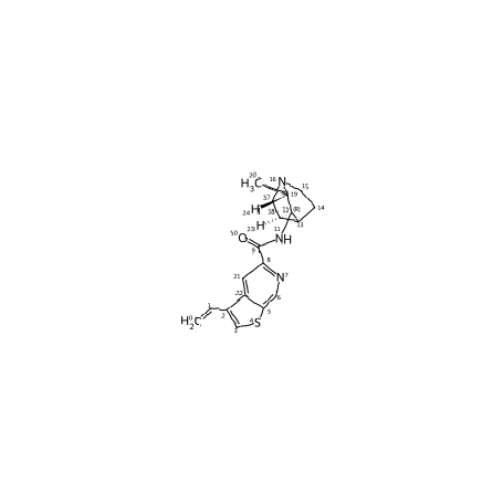 C=Cc1csc2cnc(C(=O)N[C@@H]3C4CCN(CC4)[C@H]3C)cc12